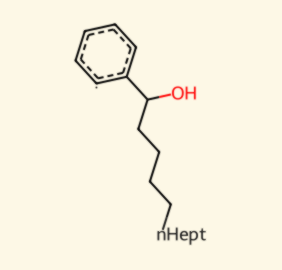 CCCCCCCCCCCC(O)c1[c]cccc1